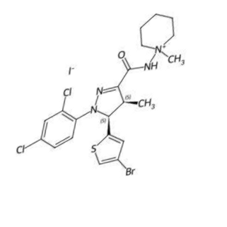 C[C@@H]1C(C(=O)N[N+]2(C)CCCCC2)=NN(c2ccc(Cl)cc2Cl)[C@@H]1c1cc(Br)cs1.[I-]